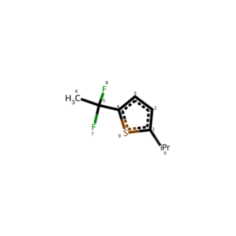 CC(C)c1ccc(C(C)(F)F)s1